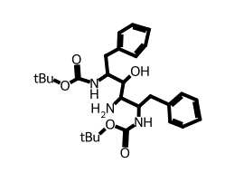 CC(C)(C)OC(=O)NC(Cc1ccccc1)C(N)C(O)C(Cc1ccccc1)NC(=O)OC(C)(C)C